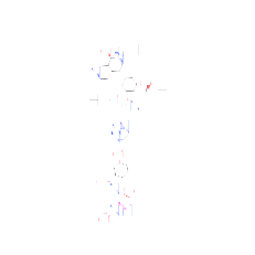 COc1cc(-c2cn(C)c(=O)c3cnccc23)cc(OC)c1CN1CCC(n2cc(COc3ccc4c(c3)C(=O)N(C3CCC(=O)NC3=O)C4=O)nn2)CC1